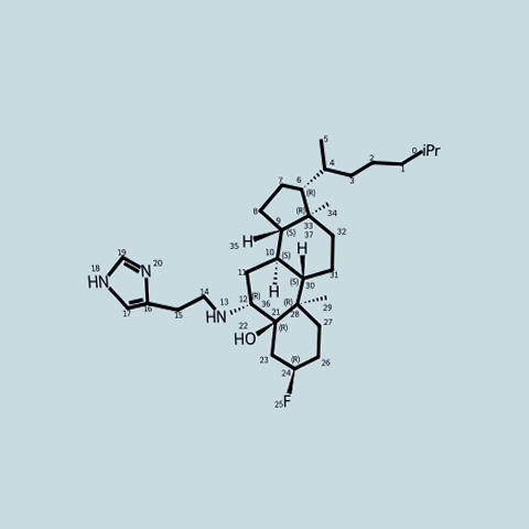 CC(C)CCCC(C)[C@H]1CC[C@H]2[C@@H]3C[C@@H](NCCc4c[nH]cn4)[C@@]4(O)C[C@H](F)CC[C@]4(C)[C@H]3CC[C@]12C